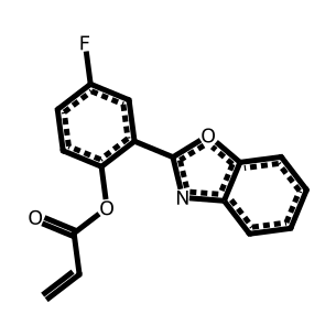 C=CC(=O)Oc1ccc(F)cc1-c1nc2ccccc2o1